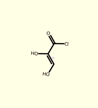 O=C(Cl)/C(O)=C/O